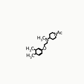 CC(=O)N1CCC(N(C)CCOC2=CC(C)C(C)C=C2)CC1